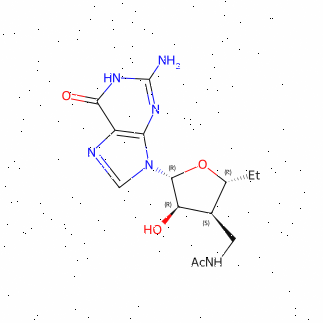 CC[C@H]1O[C@@H](n2cnc3c(=O)[nH]c(N)nc32)[C@H](O)[C@@H]1CNC(C)=O